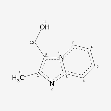 Cc1nc2ccccn2c1CO